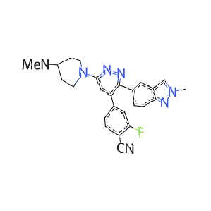 CNC1CCN(c2cc(-c3ccc(C#N)c(F)c3)c(-c3ccc4nn(C)cc4c3)nn2)CC1